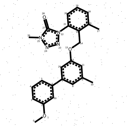 COc1cccc(-c2cc(C)cc(OCc3c(C)cccc3-n3nnn(C)c3=O)c2)c1